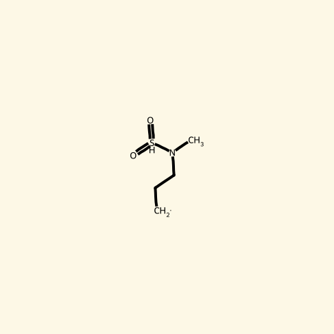 [CH2]CCN(C)[SH](=O)=O